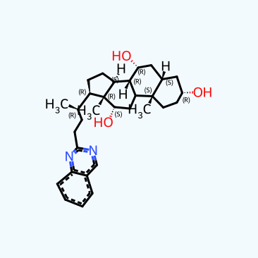 C[C@H](CCc1ncc2ccccc2n1)[C@H]1CC[C@H]2[C@H]3C(C[C@H](O)[C@]12C)[C@@]1(C)CC[C@@H](O)C[C@H]1C[C@H]3O